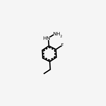 CCc1ccc(NN)c(F)c1